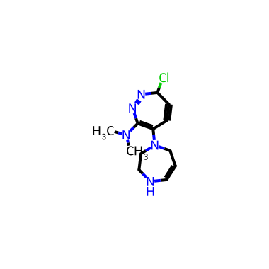 CN(C)C1=C(N2CC=CNCC2)C#CC(Cl)N=N1